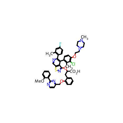 COc1ccccc1-c1nccc(COc2ccccc2CC(Oc2nsc3cnc(-c4ccc(F)cc4C)c(-c4ccc(OCCN5CCN(C)CC5)c(Cl)c4C)c23)C(=O)O)n1